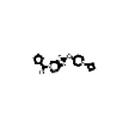 O=C(C1CCCC1)N1CCc2nc(OC3CCN(C4CCC4)CC3)sc2C1